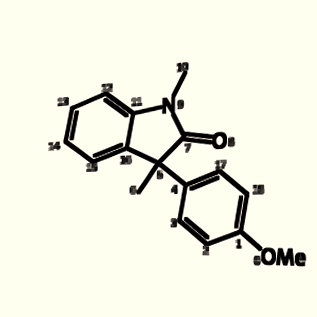 COc1ccc(C2(C)C(=O)N(C)c3ccccc32)cc1